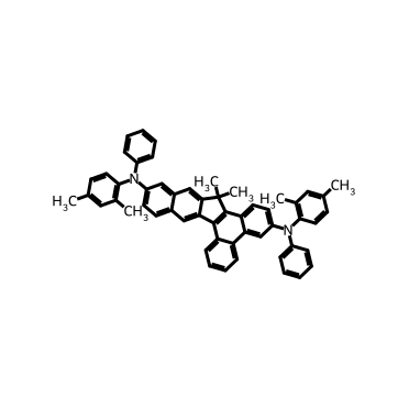 Cc1ccc(N(c2ccccc2)c2ccc3cc4c(cc3c2)C(C)(C)c2c-4c3ccccc3c3cc(N(c4ccccc4)c4ccc(C)cc4C)ccc23)c(C)c1